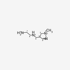 CN1CC(CNCCN)C=N1